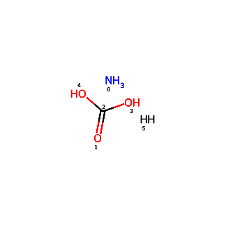 N.O=C(O)O.[HH]